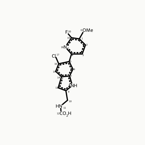 COc1ccc(-c2cc3[nH]c(CNC(=O)O)cc3cc2Cl)nc1F